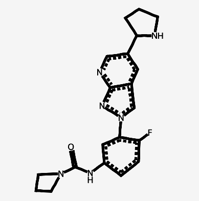 O=C(Nc1ccc(F)c(-n2cc3cc(C4CCCN4)cnc3n2)c1)N1CCC1